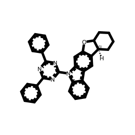 c1ccc(-c2nc(-c3ccccc3)nc(-n3c4ccccc4c4cc5c(cc43)OC3CCCC[C@@H]53)n2)cc1